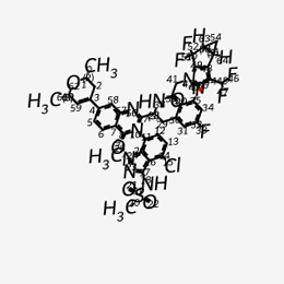 C[C@@H]1CC(c2ccc3c(=O)n(-c4ccc(Cl)c5c(NS(C)(=O)=O)nn(C)c45)c([C@H](Cc4cc(F)cc(F)c4)NC(=O)Cn4nc(C(F)F)c5c4C(F)(F)[C@@H]4C[C@H]54)nc3c2)=C[C@H](C)O1